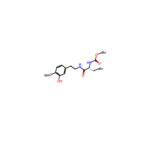 COc1ccc(CCNC(=O)[C@@H](CC(C)(C)C)NC(=O)OC(C)(C)C)cc1O